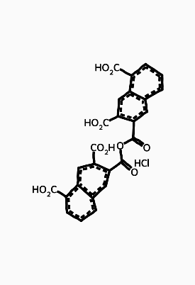 Cl.O=C(O)c1cc2c(C(=O)O)cccc2cc1C(=O)OC(=O)c1cc2cccc(C(=O)O)c2cc1C(=O)O